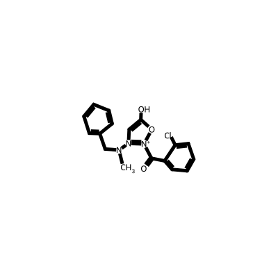 CN(Cc1ccccc1)[n+]1cc(O)o[n+]1C(=O)c1ccccc1Cl